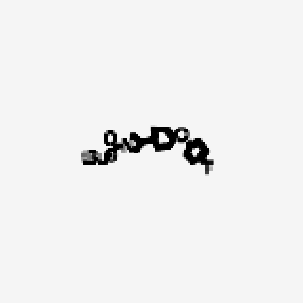 CC(C)(C)OC(=O)N1CC(c2ccc(Oc3ccc(F)cc3)cc2)C1